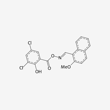 COc1ccc2ccccc2c1/C=N/OC(=O)c1cc(Cl)cc(Cl)c1O